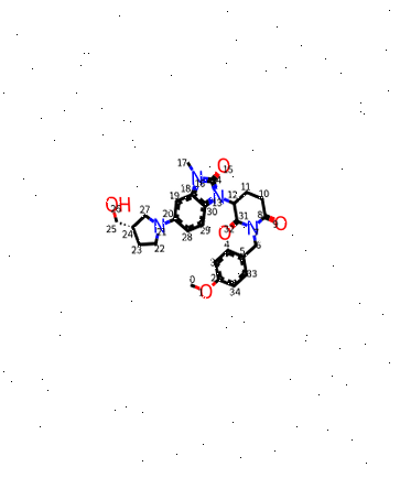 COc1ccc(CN2C(=O)CCC(n3c(=O)n(C)c4cc(N5CC[C@H](CO)C5)ccc43)C2=O)cc1